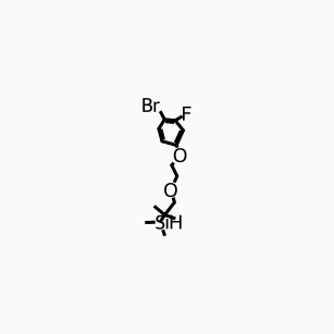 C[SiH](C)C(C)(C)COCCOc1ccc(Br)c(F)c1